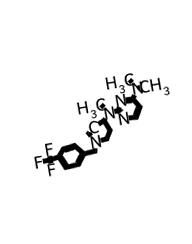 CN(C)c1ccnc(N(C)C2CCN(Cc3ccc(C(F)(F)F)cc3)CC2)n1